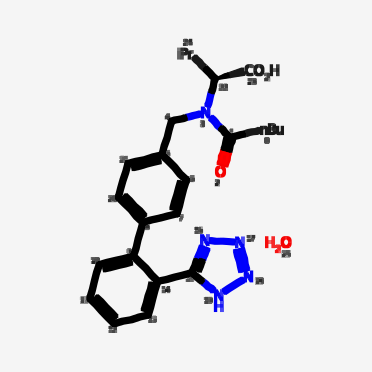 CCCCC(=O)N(Cc1ccc(-c2ccccc2-c2nnn[nH]2)cc1)[C@H](C(=O)O)C(C)C.O